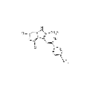 CCOC(=O)c1[nH]c2cc(Cl)cc(Cl)c2c1C=C(C#N)c1ccc([N+](=O)[O-])cc1